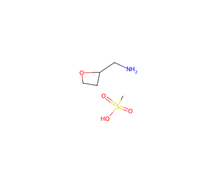 CS(=O)(=O)O.NCC1CCO1